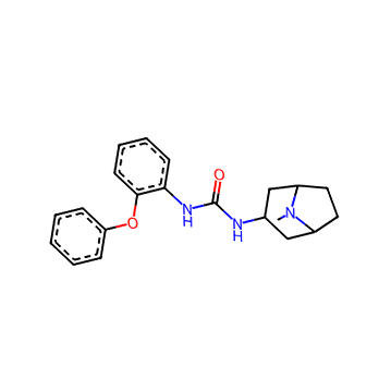 CN1C2CCC1CC(NC(=O)Nc1ccccc1Oc1ccccc1)C2